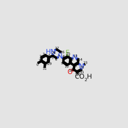 Cc1ccc(C2CN(c3ccc4c(ncc5c4c(=O)c(C(=O)O)cn5C)c3F)CCN2)cc1C